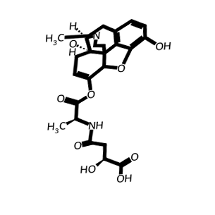 C[C@H](NC(=O)C[C@H](O)C(=O)O)C(=O)OC1=CC[C@@]2(O)[C@H]3Cc4ccc(O)c5c4C2(CCN3C)C1O5